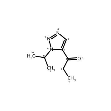 CCC(=O)c1cnnn1C(C)C